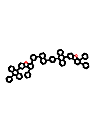 c1ccc(-c2ccc3c(oc4ccc(-c5c6ccccc6c(-c6ccc(-c7cccc8c(-c9cccc(-c%10ccc(-c%11ccccc%11)c%11c%10oc%10ccc(-c%12c%13ccccc%13c(-c%13ccccc%13)c%13ccccc%12%13)cc%10%11)c9)cccc78)cc6)c6ccccc56)cc43)c2-c2ccccc2)cc1